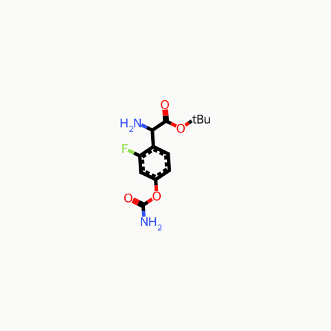 CC(C)(C)OC(=O)C(N)c1ccc(OC(N)=O)cc1F